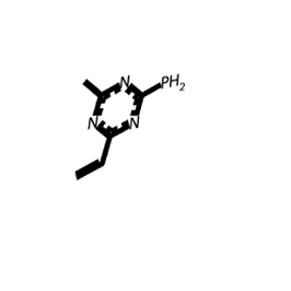 C=Cc1nc(C)nc(P)n1